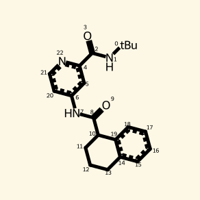 CC(C)(C)NC(=O)c1cc(NC(=O)C2CCCc3ccccc32)ccn1